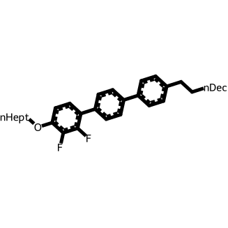 CCCCCCCCCCCCc1ccc(-c2ccc(-c3ccc(OCCCCCCC)c(F)c3F)cc2)cc1